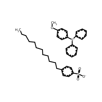 CCCCCCCCCCCCc1ccc(S(=O)(=O)[O-])cc1.COc1ccc([S+](c2ccccc2)c2ccccc2)cc1